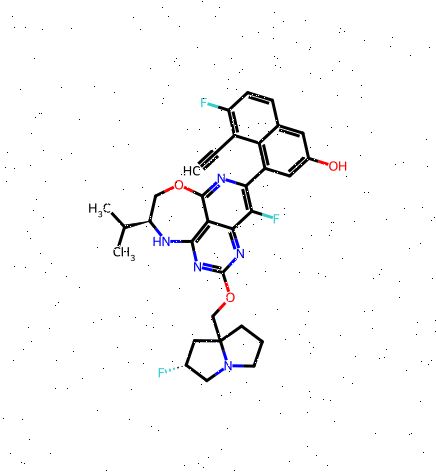 C#Cc1c(F)ccc2cc(O)cc(-c3nc4c5c(nc(OCC67CCCN6C[C@H](F)C7)nc5c3F)N[C@@H](C(C)C)CO4)c12